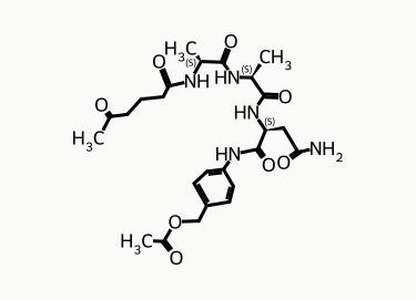 CC(=O)CCCC(=O)N[C@@H](C)C(=O)N[C@@H](C)C(=O)N[C@@H](CC(N)=O)C(=O)Nc1ccc(COC(C)=O)cc1